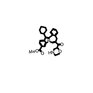 COC(=O)c1ccc2c(C3CCCCC3)c3n(c2c1)C=C(C(=O)C1CNCCO1)Cc1ccccc1-3